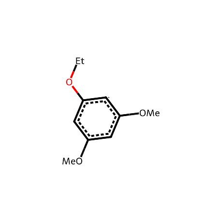 CCOc1[c]c(OC)cc(OC)c1